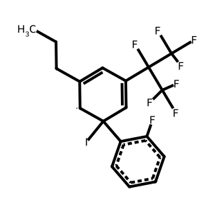 CCCC1=CC(C(F)(C(F)(F)F)C(F)(F)F)=CC(I)(c2ccccc2F)[CH]1